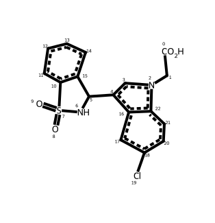 O=C(O)Cn1cc(C2NS(=O)(=O)c3ccccc32)c2cc(Cl)ccc21